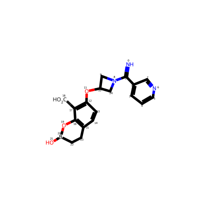 N=C(c1cccnc1)N1CC(Oc2ccc3c(c2C(=O)O)OB(O)CC3)C1